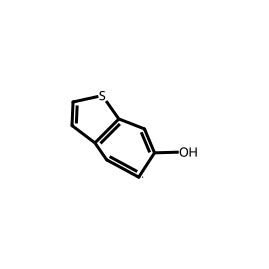 Oc1[c]cc2ccsc2c1